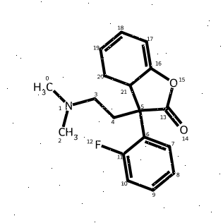 CN(C)CCC1(c2ccccc2F)C(=O)OC2=CC=CCC21